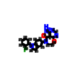 Nc1ncnc2c1C(=O)N(c1ccc3c(ccn3-c3ccccc3F)c1)CCO2